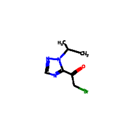 CC(C)n1ncnc1C(=O)CBr